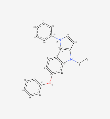 CCN1C2=[Te](c3ccc(Oc4ccccc4)cc31)N(c1ccccc1)C=C2